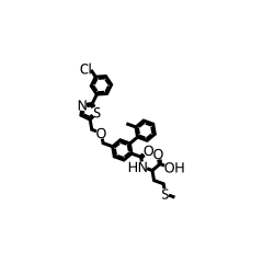 CSCCC(NC(=O)c1ccc(COCc2cnc(-c3cccc(Cl)c3)s2)cc1-c1ccccc1C)C(=O)O